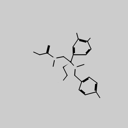 Cc1ccc(CN(C(=O)O)[C@](CCC=O)(CN(C)C(=O)CC(F)(F)F)c2ccc(Cl)c(Cl)c2)cc1